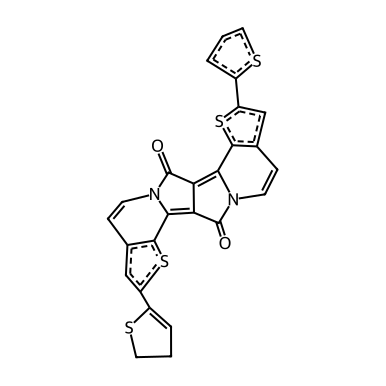 O=C1C2=C3c4sc(-c5cccs5)cc4C=CN3C(=O)C2=C2c3sc(C4=CCCS4)cc3C=CN12